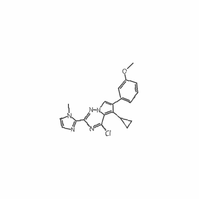 COc1cccc(-c2cn3nc(-c4nccn4C)nc(Cl)c3c2C2CC2)c1